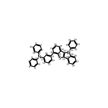 c1ccc(N(c2ccccc2)c2cccc(-c3cccc4c3sc3c5ccccc5n(-c5ccccc5)c43)c2)cc1